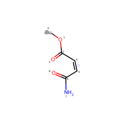 CCC(C)OC(=O)/C=C\C(N)=O